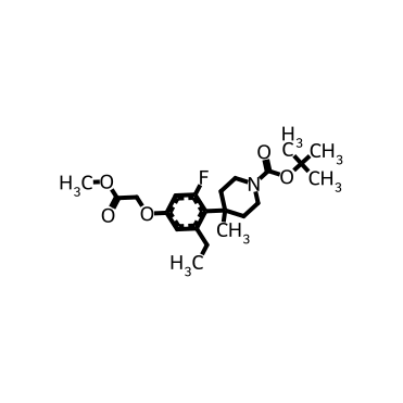 CCc1cc(OCC(=O)OC)cc(F)c1C1(C)CCN(C(=O)OC(C)(C)C)CC1